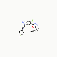 CNC(C)(C)c1nnc(-c2cc3c(/C=C/c4ccc(F)cc4)n[nH]c3cc2F)o1